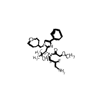 COCC(=O)N(CC(F)CN)[C@@H](c1nc(-c2ccccc2)cn1CC1CCOCC1)C(C)(C)C